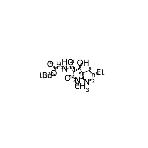 CCc1cnc2c(c1)c(O)c(C(=O)NCC(=O)OC(C)(C)C)c(=O)n2C